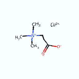 C[N+](C)(C)CC(=O)[O-].[Cu+2]